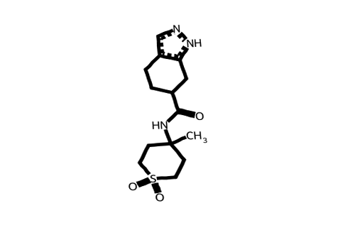 CC1(NC(=O)C2CCc3cn[nH]c3C2)CCS(=O)(=O)CC1